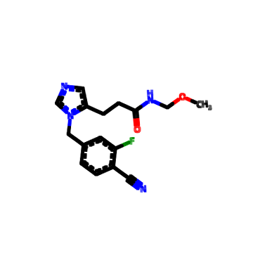 COCNC(=O)CCc1cncn1Cc1ccc(C#N)c(F)c1